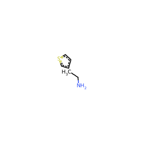 CCN.c1ccsc1